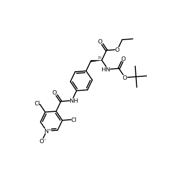 CCOC(=O)[C@H](Cc1ccc(NC(=O)c2c(Cl)c[n+]([O-])cc2Cl)cc1)NC(=O)OC(C)(C)C